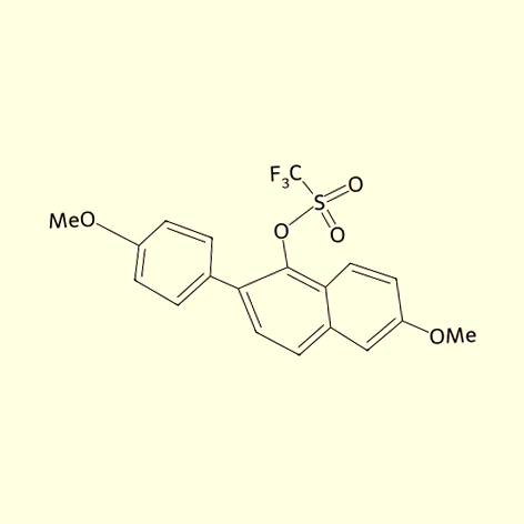 COc1ccc(-c2ccc3cc(OC)ccc3c2OS(=O)(=O)C(F)(F)F)cc1